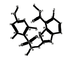 COC(=O)c1c(F)ccc2nc(CN(C)S(=O)(=O)c3c(C)cc(OC)cc3C)[nH]c12